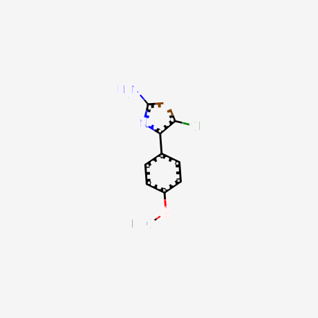 COc1ccc(-c2nc(N)sc2Cl)cc1